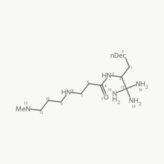 CCCCCCCCCCCC(NC(=O)CCNCCCNC)C(N)(N)N